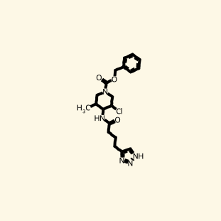 CC1CN(C(=O)OCc2ccccc2)CC(Cl)C1NC(=O)CCCc1c[nH]nn1